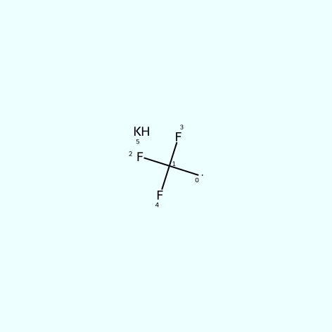 [CH2]C(F)(F)F.[KH]